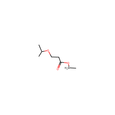 C[SiH2]OC(=O)CCOC(C)C